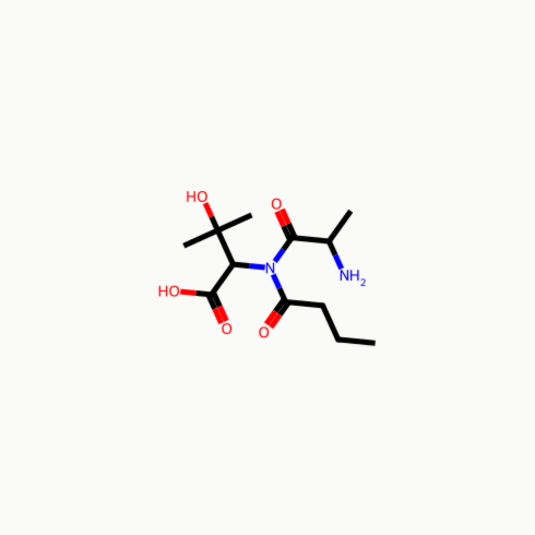 CCCC(=O)N(C(=O)C(C)N)C(C(=O)O)C(C)(C)O